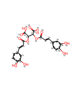 O=C(C=Cc1ccc(O)c(O)c1)OC(C(=O)O)C(OC(=O)C=Cc1ccc(O)c(O)c1)C(=O)O